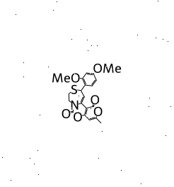 COc1ccc(C2C=C3c4c(cc(C)oc4=O)OC(=O)N3CCS2)c(OC)c1